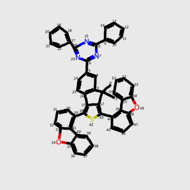 CC1(C)c2cc(-c3nc(-c4ccccc4)nc(-c4ccccc4)n3)ccc2-c2c(-c3cccc4oc5ccccc5c34)sc(-c3cccc4oc5ccccc5c34)c21